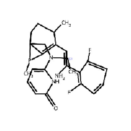 CCN(CC12CCC(C)C(/C=C(\N)c3c(F)cccc3F)=C1P2C)c1cccc(=O)[nH]1